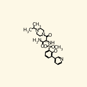 COc1c(-c2cccnc2)cccc1S(=O)(=O)N[C@@H](C(N)=O)C(=O)N1CCN(C(C)C)CC1